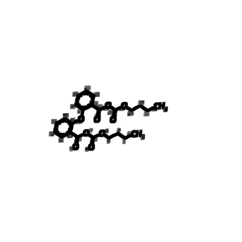 CCCCOC(=O)OC(=O)c1ccccc1Oc1ccccc1C(=O)OC(=O)OCCCC